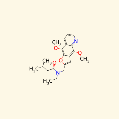 CCN(Cc1cc2c(OC)c3ncccc3c(OC)c2o1)C(=O)CC(C)C